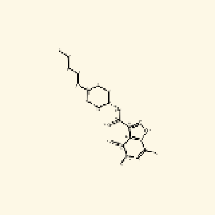 CCCCO[C@H]1CC[C@H](NC(=O)c2coc3c(C)cn(C)c(=O)c23)CC1